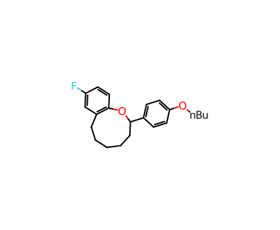 CCCCOc1ccc(C2CCCCCc3cc(F)ccc3O2)cc1